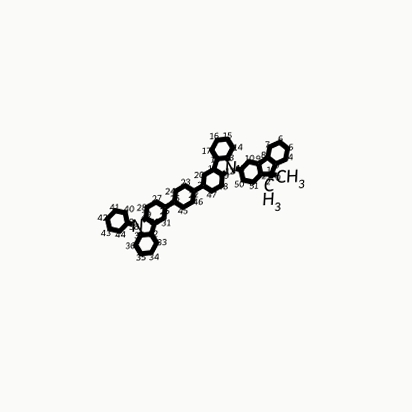 CC1(C)C2CCCCC2C2CC(N3C4CCCCC4C4CC(C5CCC(C6CCC7C(C6)C6CCCCC6N7C6CCCCC6)CC5)CCC43)CCC21